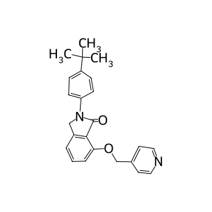 CC(C)(C)c1ccc(N2Cc3cccc(OCc4ccncc4)c3C2=O)cc1